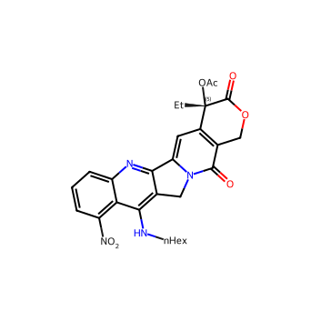 CCCCCCNc1c2c(nc3cccc([N+](=O)[O-])c13)-c1cc3c(c(=O)n1C2)COC(=O)[C@@]3(CC)OC(C)=O